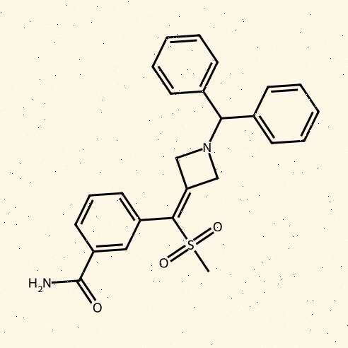 CS(=O)(=O)C(=C1CN(C(c2ccccc2)c2ccccc2)C1)c1cccc(C(N)=O)c1